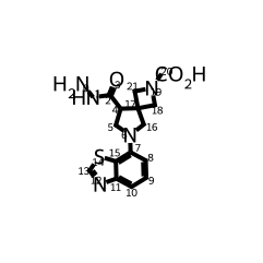 NNC(=O)C1CN(c2cccc3ncsc23)CC12CN(C(=O)O)C2